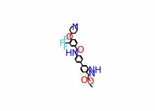 CCOC(=O)c1n[nH]c2cc(-c3ccc(NC(=O)c4ccc(OC5CCN(C)CC5)c(C(F)(F)F)c4)cc3)ccc12